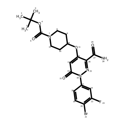 CC(C)(C)OC(=O)N1CCC(Oc2cc(=O)n(-c3ccc(Br)c(F)c3)nc2C(N)=O)CC1